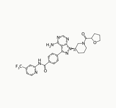 Nc1ncnc2c1c(-c1ccc(C(=O)Nc3cc(C(F)(F)F)ccn3)cc1)nn2[C@@H]1CCCN(C(=O)C2CCCO2)C1